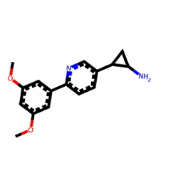 COc1cc(OC)cc(-c2ccc(C3CC3N)cn2)c1